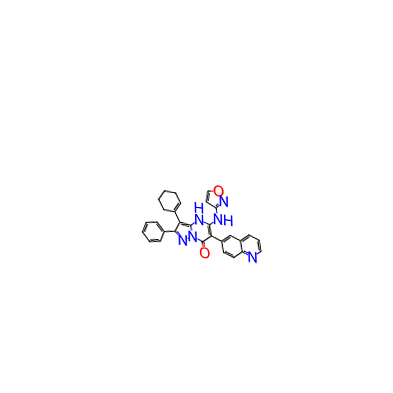 O=c1c(-c2ccc3ncccc3c2)c(Nc2ccon2)[nH]c2c(C3=CCCCC3)c(-c3ccccc3)nn12